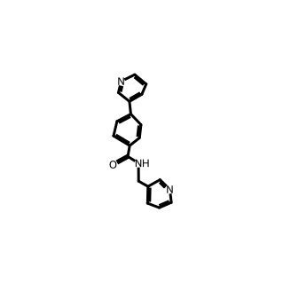 O=C(NCc1cccnc1)c1ccc(-c2cccnc2)cc1